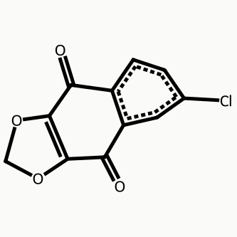 O=C1C2=C(OCO2)C(=O)c2cc(Cl)ccc21